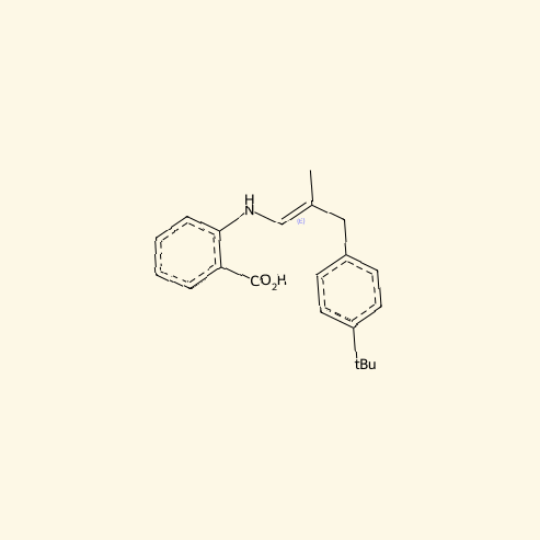 C/C(=C\Nc1ccccc1C(=O)O)Cc1ccc(C(C)(C)C)cc1